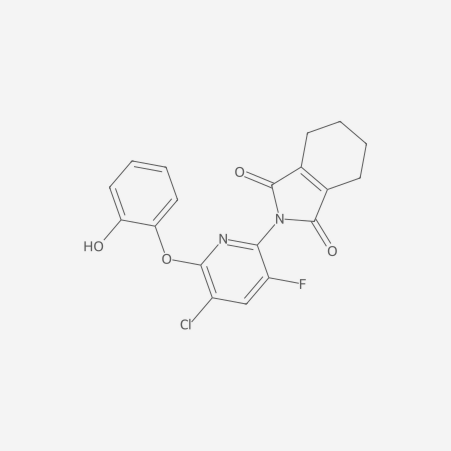 O=C1C2=C(CCCC2)C(=O)N1c1nc(Oc2ccccc2O)c(Cl)cc1F